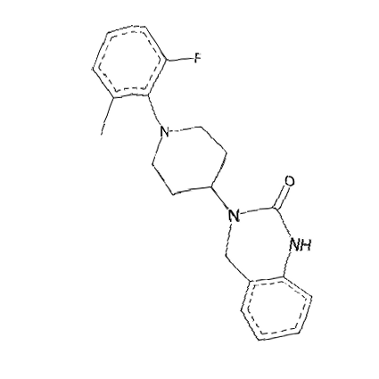 Cc1cccc(F)c1N1CCC(N2Cc3ccccc3NC2=O)CC1